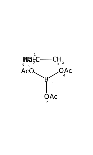 CC(=O)O.CC(=O)OB(OC(C)=O)OC(C)=O.[NaH]